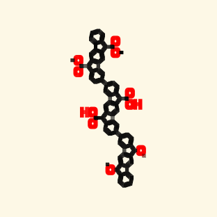 COC(=O)C1c2ccccc2-c2cc3c(cc21)-c1cc(-c2ccc4c(c2)-c2cc5c(cc2C4C(=O)O)-c2cc(-c4ccc6c(c4)-c4cc7c(cc4C6OC)-c4ccccc4C7OC)ccc2C5C(=O)O)ccc1C3C(=O)OC